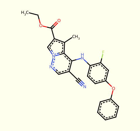 CCOC(=O)c1cn2ncc(C#N)c(Nc3ccc(Oc4ccccc4)cc3F)c2c1C